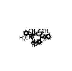 Cc1cccc(C)c1-c1cc2nc(n1)NS(=O)(=O)c1cccc(c1)C(C1CC3(CCCCC3)C1)C(CC(C)C)CO2